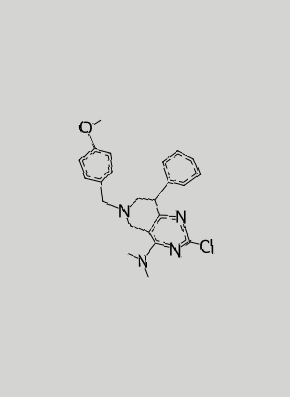 COc1ccc(CN2Cc3c(nc(Cl)nc3N(C)C)C(c3ccccc3)C2)cc1